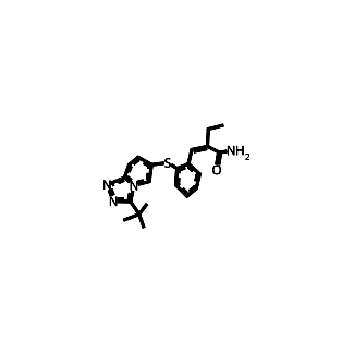 CCC(=Cc1ccccc1Sc1ccc2nnc(C(C)(C)C)n2c1)C(N)=O